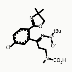 CN(CCC(=N[S+]([O-])C(C)(C)C)c1cc(Cl)ccc1C1=NC(C)(C)CO1)C(=O)O